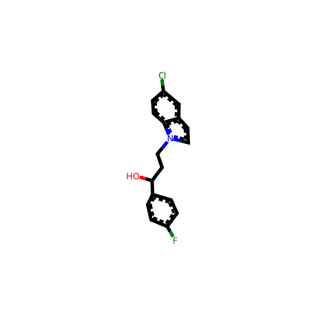 OC(CCn1ccc2cc(Cl)ccc21)c1ccc(F)cc1